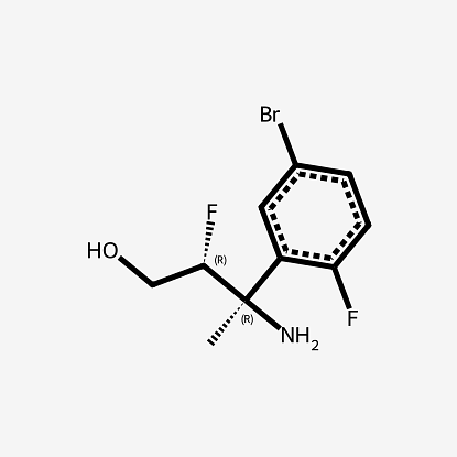 C[C@@](N)(c1cc(Br)ccc1F)[C@@H](F)CO